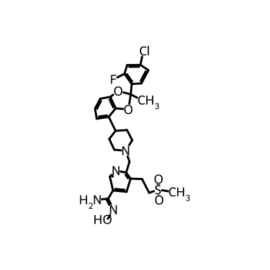 CC1(c2ccc(Cl)cc2F)Oc2cccc(C3CCN(Cc4ncc(C(N)=NO)cc4CCS(C)(=O)=O)CC3)c2O1